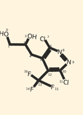 OCC(O)Cc1c(Cl)nnc(Cl)c1C(F)(F)F